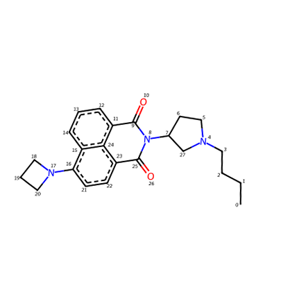 CCCCN1CCC(N2C(=O)c3cccc4c(N5CCC5)ccc(c34)C2=O)C1